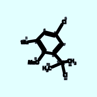 COc1c(C(C)(C)C)cc(Cl)cc1[Si](C)(C)Cl